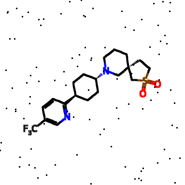 O=S1(=O)CC[C@]2(CCCN([C@H]3CC[C@H](c4ccc(C(F)(F)F)cn4)CC3)C2)C1